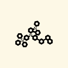 c1ccc(-n2c3ccccc3c3c(N(c4ccc(-c5cccc(-c6cccc7ccccc67)c5)cc4)c4ccc([Si](c5ccccc5)(c5ccccc5)c5ccccc5)cc4)cccc32)cc1